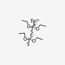 CCOP(=S)([S-])OCC.CCOP(=S)([S-])OCC.[Te+2]